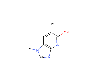 CC(C)c1cc2c(ncn2C)nc1O